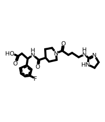 O=C(O)CC(NC(=O)C1CCN(C(=O)CCCNC2=NCCN2)CC1)c1cccc(F)c1